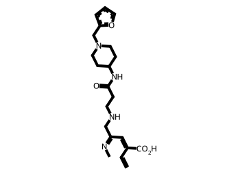 C=C/C(=C\C(CNCCC(=O)NC1CCN(Cc2ccco2)CC1)=N/C)C(=O)O